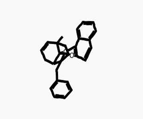 CC12C=CCC(CCC1)C21Cc2c(ccc3ccccc23)OC1Cc1ccccc1